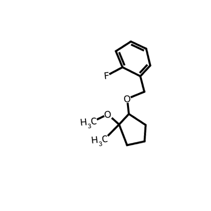 COC1(C)CCCC1OCc1ccccc1F